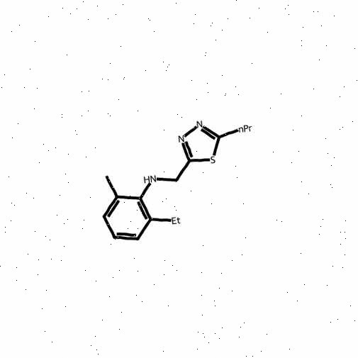 CCCc1nnc(CNc2c(C)cccc2CC)s1